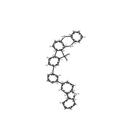 CC1(C)c2cc(-c3cccc(-c4ccc5oc6ccccc6c5c4)c3)ccc2-c2ccc3c(c21)Sc1ccccc1S3